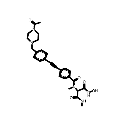 CNC(=O)C(C(=O)NO)N(C)C(=O)c1ccc(C#Cc2ccc(CN3CCN(C(C)=O)CC3)cc2)cc1